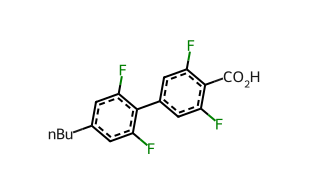 CCCCc1cc(F)c(-c2cc(F)c(C(=O)O)c(F)c2)c(F)c1